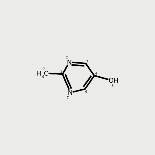 Cc1ncc(O)cn1